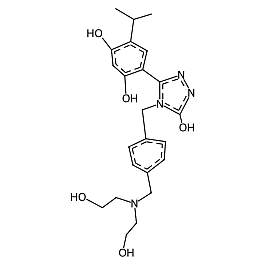 CC(C)c1cc(-c2nnc(O)n2Cc2ccc(CN(CCO)CCO)cc2)c(O)cc1O